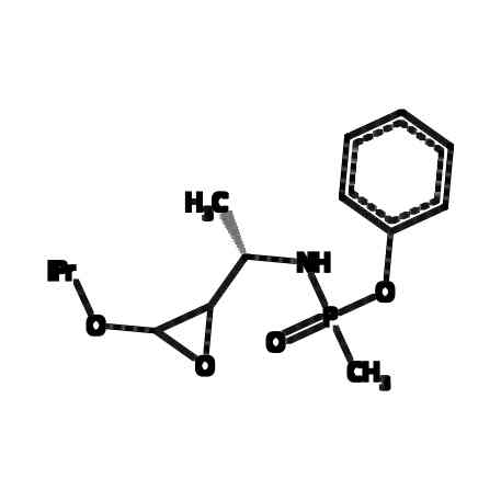 CC(C)OC1OC1[C@H](C)NP(C)(=O)Oc1ccccc1